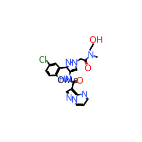 COc1ccc(Cl)cc1-c1nn(CC(=O)N(C)CCO)cc1NC(=O)c1cnn2cccnc12